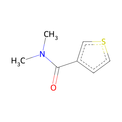 CN(C)C(=O)c1ccsc1